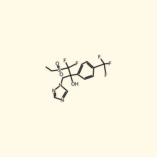 CCS(=O)(=O)C(F)(F)C(O)(Cn1cncn1)c1ccc(C(F)(F)F)cc1